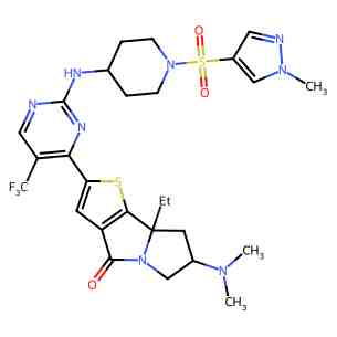 CCC12CC(N(C)C)CN1C(=O)c1cc(-c3nc(NC4CCN(S(=O)(=O)c5cnn(C)c5)CC4)ncc3C(F)(F)F)sc12